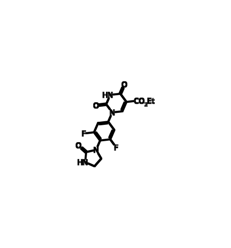 CCOC(=O)c1cn(-c2cc(F)c(N3CCNC3=O)c(F)c2)c(=O)[nH]c1=O